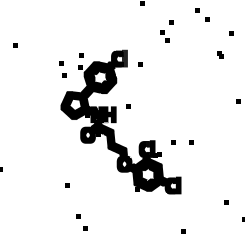 O=C(CCCOc1ccc(Cl)cc1Cl)NC1CCCC1c1ccc(Cl)cc1